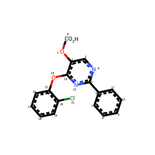 O=C(O)Oc1cnc(-c2ccccc2)nc1Oc1ccccc1Cl